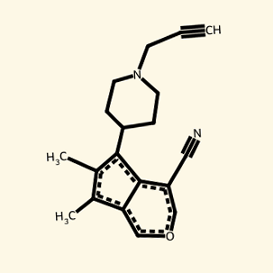 C#CCN1CCC(c2c(C)c(C)c3cocc(C#N)c2-3)CC1